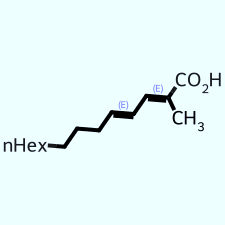 CCCCCCCCC/C=C/C=C(\C)C(=O)O